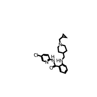 O=C(Nc1ccc(Cl)cn1)c1ccccc1NCC1CCN(CC2CC2)CC1